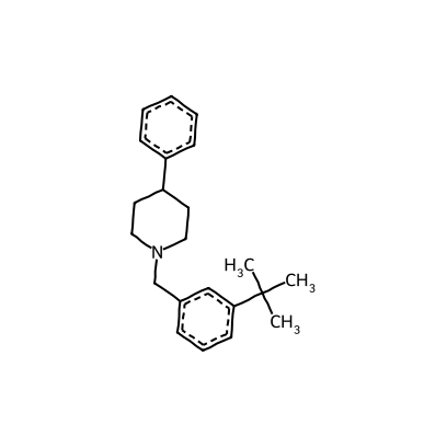 CC(C)(C)c1cccc(CN2CCC(c3ccccc3)CC2)c1